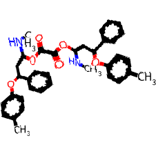 CNC(CC(Oc1ccc(C)cc1)c1ccccc1)OC(=O)C(=O)OC(CC(Oc1ccc(C)cc1)c1ccccc1)NC